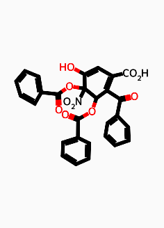 O=C(O)C1=C(C(=O)c2ccccc2)C(OC(=O)c2ccccc2)C(OC(=O)c2ccccc2)([N+](=O)[O-])C(O)=C1